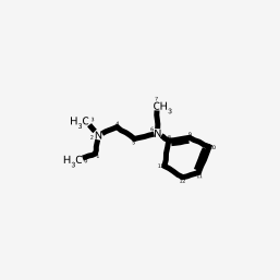 CCN(C)CCN(C)C1=CC=CCC1